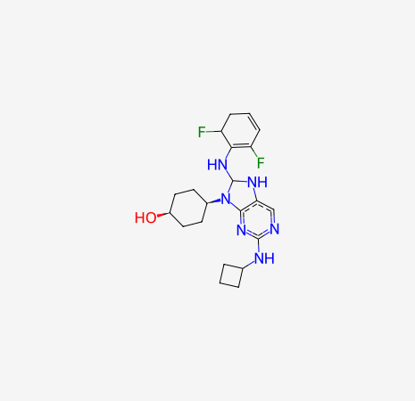 O[C@H]1CC[C@@H](N2c3nc(NC4CCC4)ncc3NC2NC2=C(F)C=CCC2F)CC1